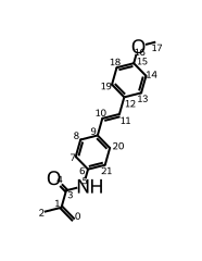 C=C(C)C(=O)Nc1ccc(C=Cc2ccc(OC)cc2)cc1